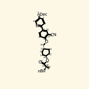 CCCCCCCCCCc1ccc(-c2ccc(OC[C@H]3CC[C@H](OC(=O)[C@@H](F)CCCC)CC3)c(C#N)c2)nc1